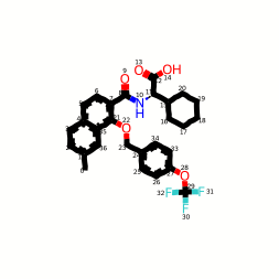 Cc1ccc2ccc(C(=O)N[C@H](C(=O)O)C3CCCCC3)c(OCc3ccc(OC(F)(F)F)cc3)c2c1